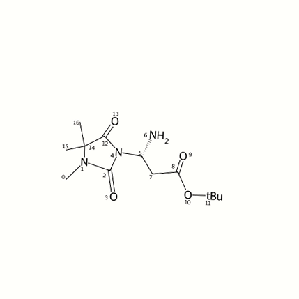 CN1C(=O)N([C@H](N)CC(=O)OC(C)(C)C)C(=O)C1(C)C